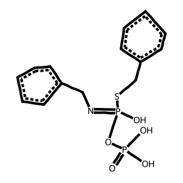 O=P(O)(O)OP(O)(=NCc1ccccc1)SCc1ccccc1